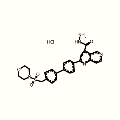 Cl.NNC(=O)c1cc(-c2ccc(-c3ccc(CS(=O)(=O)N4CCOCC4)cc3)cc2)nc2ccncc12